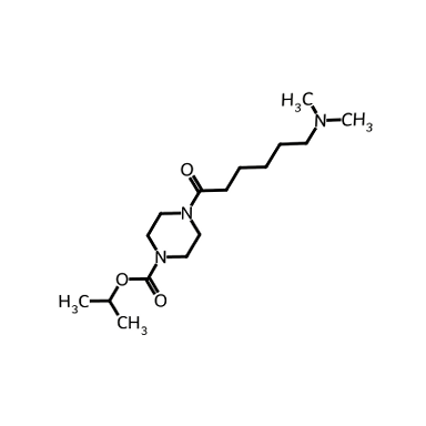 CC(C)OC(=O)N1CCN(C(=O)CCCCCN(C)C)CC1